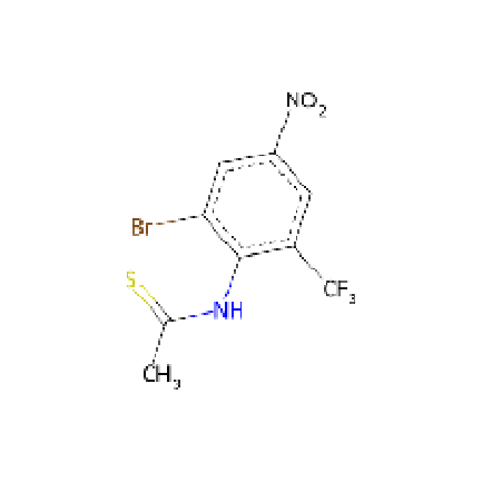 CC(=S)Nc1c(Br)cc([N+](=O)[O-])cc1C(F)(F)F